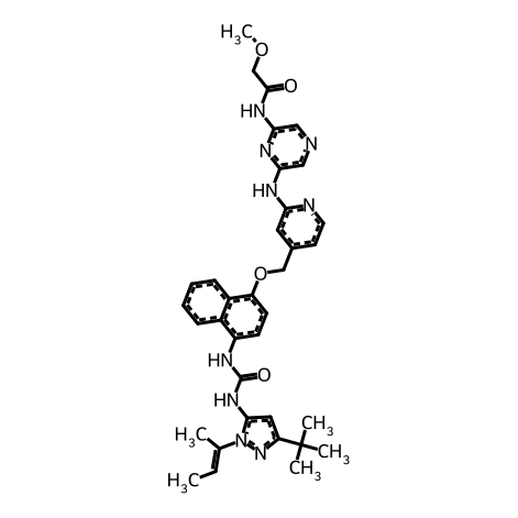 C/C=C(\C)n1nc(C(C)(C)C)cc1NC(=O)Nc1ccc(OCc2ccnc(Nc3cncc(NC(=O)COC)n3)c2)c2ccccc12